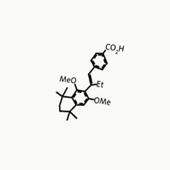 CCC(=Cc1ccc(C(=O)O)cc1)c1c(OC)cc2c(c1OC)C(C)(C)CCC2(C)C